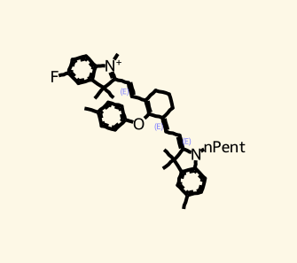 CCCCCN1/C(=C/C=C2\CCCC(/C=C/C3=[N+](C)c4ccc(F)cc4C3(C)C)=C2Oc2ccc(C)cc2)C(C)(C)c2cc(C)ccc21